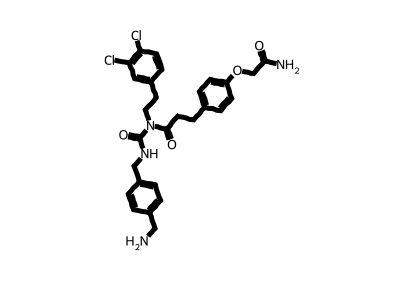 NCc1ccc(CNC(=O)N(CCc2ccc(Cl)c(Cl)c2)C(=O)[CH]Cc2ccc(OCC(N)=O)cc2)cc1